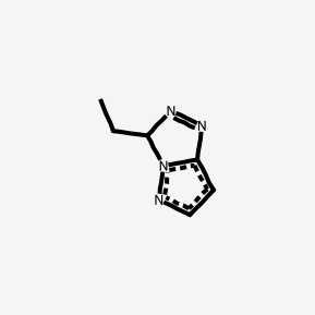 CCC1N=Nc2ccnn21